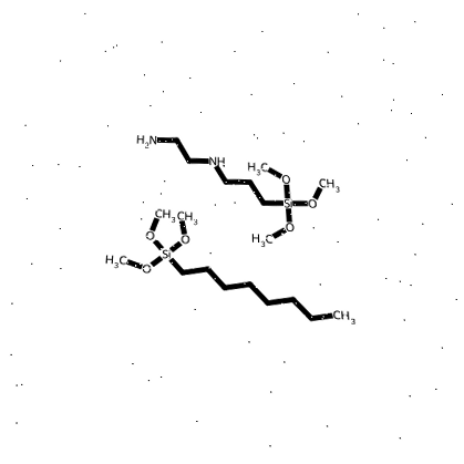 CCCCCCCC[Si](OC)(OC)OC.CO[Si](CCCNCCN)(OC)OC